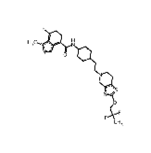 Cn1ncc2c1=C(F)CCC=2C(=O)NC1CCC(CCN2CCc3sc(OCC(C)(F)F)nc3C2)CC1